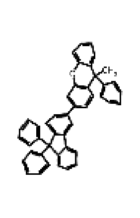 CC1(c2ccccc2)c2ccccc2Oc2cc(-c3ccc4c(c3)-c3ccccc3C4(c3ccccc3)c3ccccc3)ccc21